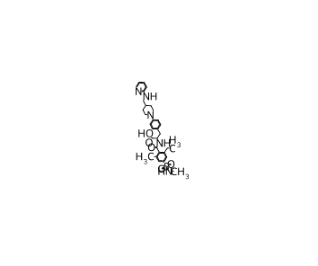 CCc1cc(S(=O)(=O)NC)cc(C)c1C(=O)NC(Cc1ccc(N2CCC(CNc3ccccn3)CC2)cc1)C(=O)O